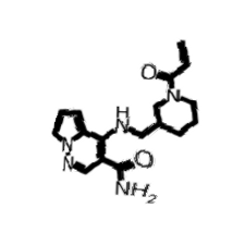 C=CC(=O)N1CCCC(CNc2c(C(N)=O)cnn3cccc23)C1